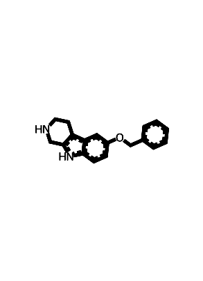 c1ccc(COc2ccc3[nH]c4c(c3c2)CCNC4)cc1